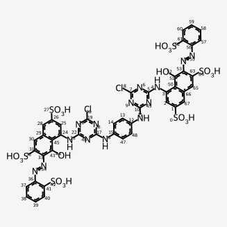 O=S(=O)(O)c1cc(Nc2nc(Cl)nc(Nc3ccc(Nc4nc(Cl)nc(Nc5cc(S(=O)(=O)O)cc6cc(S(=O)(=O)O)c(/N=N/c7ccccc7S(=O)(=O)O)c(O)c56)n4)cc3)n2)c2c(O)c(/N=N/c3ccccc3S(=O)(=O)O)c(S(=O)(=O)O)cc2c1